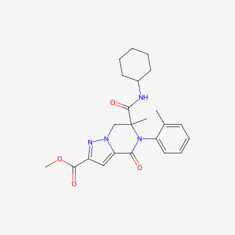 COC(=O)c1cc2n(n1)CC(C)(C(=O)NC1CCCCC1)N(c1ccccc1C)C2=O